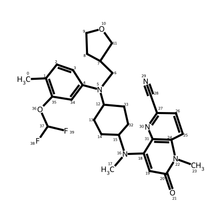 Cc1ccc(N(CC2CCOC2)C2CCC(N(C)c3cc(=O)n(C)c4ccc(C#N)nc34)CC2)cc1OC(F)F